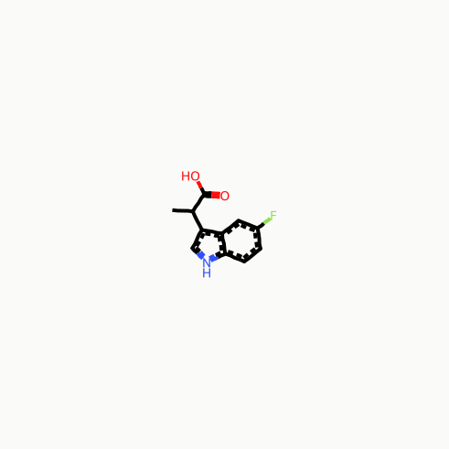 CC(C(=O)O)c1c[nH]c2ccc(F)cc12